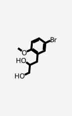 COc1ccc(Br)cc1CC(O)CO